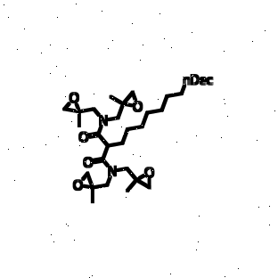 CCCCCCCCCCCCCCCCCC(C(=O)N(CC1(C)CO1)CC1(C)CO1)C(=O)N(CC1(C)CO1)CC1(C)CO1